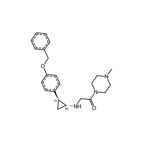 CN1CCN(C(=O)CN[C@@H]2C[C@H]2c2ccc(OCc3ccccc3)cc2)CC1